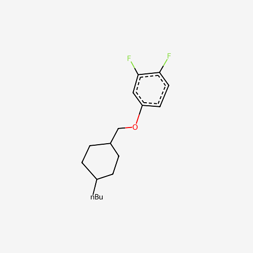 CCCCC1CCC(COc2ccc(F)c(F)c2)CC1